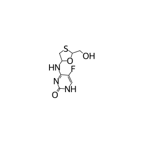 O=c1nc(NC2CSC(CO)O2)c(F)c[nH]1